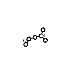 c1ccc(-c2cc(-c3ccc(-c4ccc5oc6ccccc6c5c4)cc3)cc(-c3ccccc3)n2)cc1